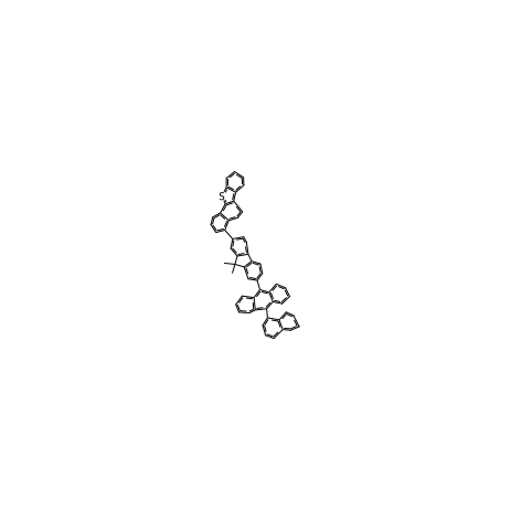 CC1(C)c2cc(-c3c4ccccc4c(-c4cccc5ccccc45)c4ccccc34)ccc2-c2ccc(-c3cccc4c3ccc3c5ccccc5sc43)cc21